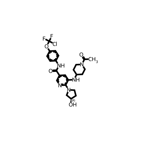 CC(=O)N1CCC(Nc2cc(C(=O)Nc3ccc(OC(F)(F)Cl)cc3)cnc2N2CC[C@@H](O)C2)CC1